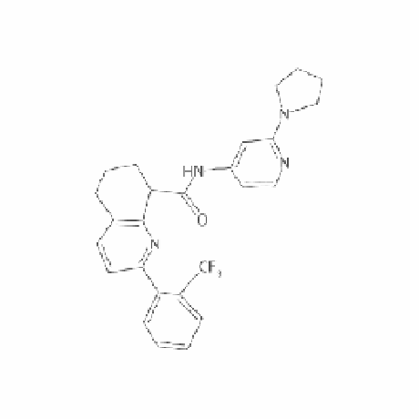 O=C(Nc1ccnc(N2CCCC2)c1)C1CCCc2ccc(-c3ccccc3C(F)(F)F)nc21